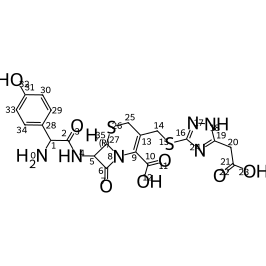 NC(C(=O)NC1C(=O)N2C(C(=O)O)=C(CSc3n[nH]c(CC(=O)O)n3)CS[C@H]12)c1ccc(O)cc1